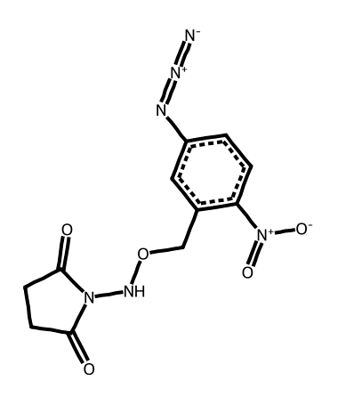 [N-]=[N+]=Nc1ccc([N+](=O)[O-])c(CONN2C(=O)CCC2=O)c1